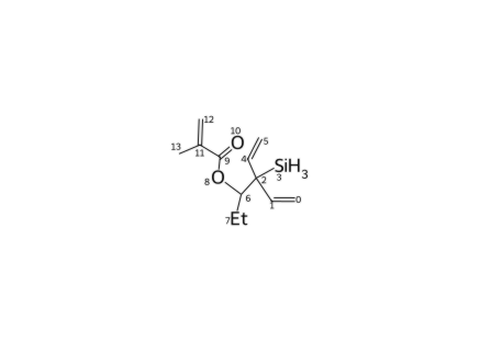 C=CC([SiH3])(C=C)C(CC)OC(=O)C(=C)C